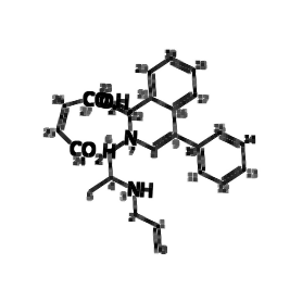 C=CCNC(C)Cn1cc(-c2ccccc2)c2ccccc2c1=O.O=C(O)/C=C\C(=O)O